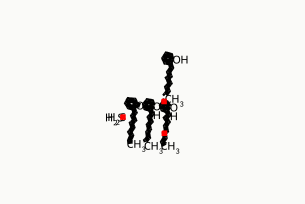 CCCCCCCCCc1ccccc1O.CCCCCCCCCc1ccccc1O.CCCCCCCCCc1ccccc1O.CCCCCCCCCc1ccccc1O.S.S